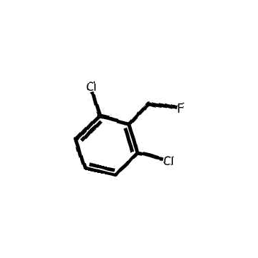 FCc1c(Cl)cccc1Cl